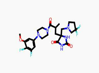 COc1cc(N2CCN(C(=O)C(C)CC3(CN4CCC(F)(F)C4)NC(=O)NC3=O)CC2)cc(F)c1F